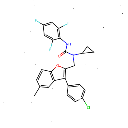 Cc1ccc2oc(CN(C(=O)Nc3c(F)cc(F)cc3F)C3CC3)c(-c3ccc(Cl)cc3)c2c1